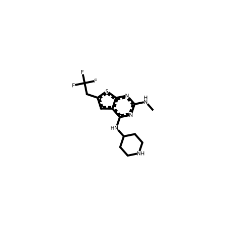 CNc1nc(NC2CCNCC2)c2cc(CC(F)(F)F)sc2n1